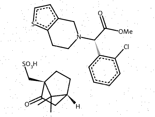 CC1(C)[C@@H]2CC[C@@]1(CS(=O)(=O)O)C(=O)C2.COC(=O)[C@H](c1ccccc1Cl)N1CCc2sccc2C1